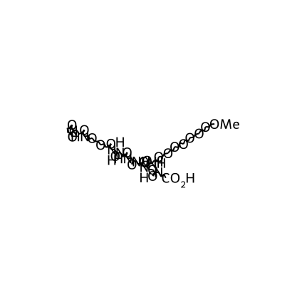 COCCOCCOCCOCCOCCOCCOCCOCCNC(=O)C(COC(=O)NCCC(=O)O)NC(=O)CNC(=O)CNC(=O)CNC(=O)CNC(=O)CCOCCOCCNC(=O)CCN1C(=O)C=CC1=O